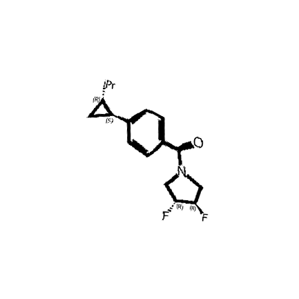 CC(C)[C@H]1C[C@@H]1c1ccc(C(=O)N2C[C@@H](F)[C@H](F)C2)cc1